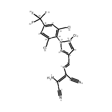 N#CC(N)=C(C#N)N=Cc1c[n+]([O-])n(-c2c(Cl)cc(C(F)(F)F)cc2Cl)n1